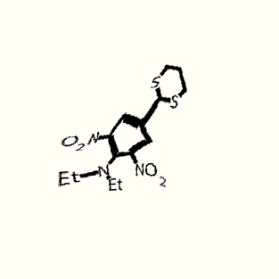 CCN(CC)c1c([N+](=O)[O-])cc(C2SCCCS2)cc1[N+](=O)[O-]